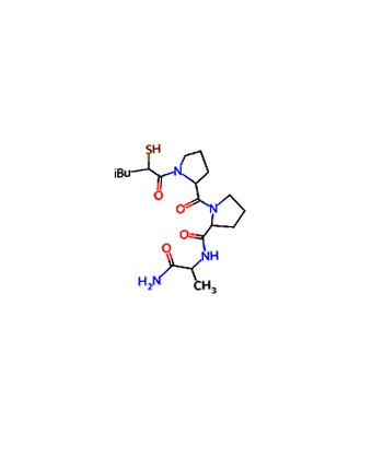 CCC(C)C(S)C(=O)N1CCCC1C(=O)N1CCCC1C(=O)NC(C)C(N)=O